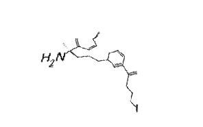 C=C(CCCI)C1=CC(CCC[C@@](C)(N)C(=C)/C=C\CC)CC=C1